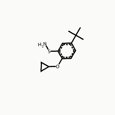 CC(C)(C)c1ccc(OC2CC2)c(SN)c1